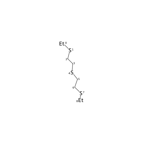 [CH2]CSCCSCCSC[CH2]